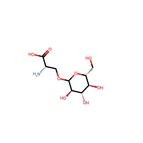 N[C@@H](COC1O[C@H](CO)[C@@H](O)[C@H](O)[C@H]1O)C(=O)O